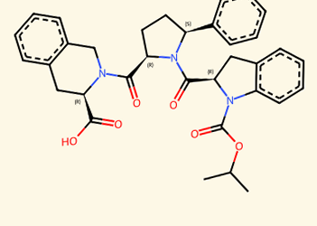 CC(C)OC(=O)N1c2ccccc2C[C@@H]1C(=O)N1[C@@H](C(=O)N2Cc3ccccc3C[C@@H]2C(=O)O)CC[C@H]1c1ccccc1